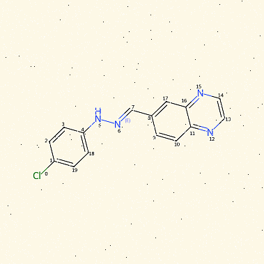 Clc1ccc(N/N=C/c2ccc3nccnc3c2)cc1